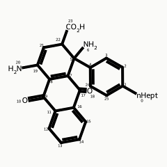 CCCCCCCc1ccc(C2(N)C3=C(C(=O)c4ccccc4C3=O)C(N)=CC2C(=O)O)cc1